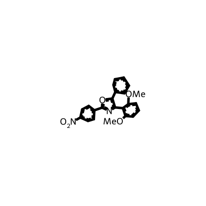 COc1cccc(OC)c1-c1nc(-c2ccc([N+](=O)[O-])cc2)oc1-c1ccccc1